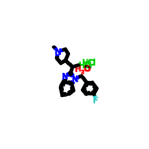 CC(c1nc2ccccc2n1Cc1ccc(F)cc1)C1CCN(C)CC1.Cl.Cl.O